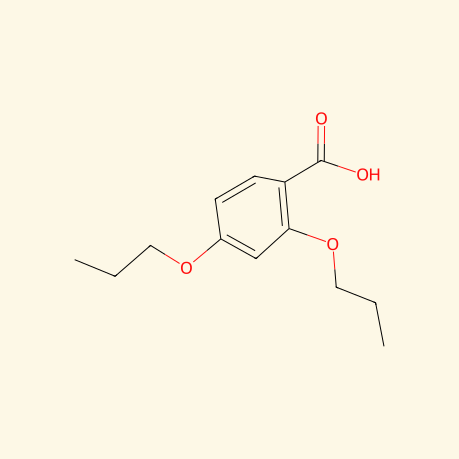 CCCOc1ccc(C(=O)O)c(OCCC)c1